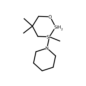 CC1(C)CO[SiH2][Si](C)(N2CCCCC2)C1